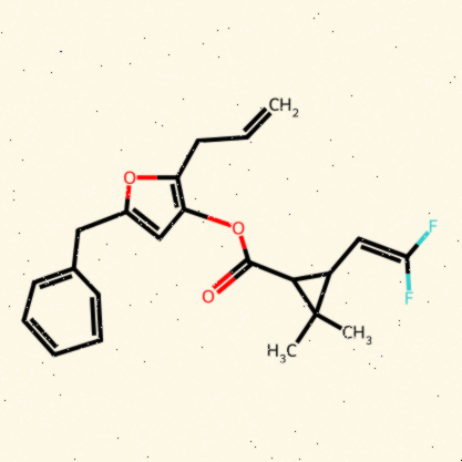 C=CCc1oc(Cc2ccccc2)cc1OC(=O)C1C(C=C(F)F)C1(C)C